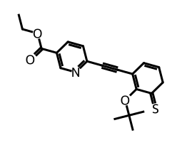 CCOC(=O)c1ccc(C#CC2=C(OC(C)(C)C)C(=S)CC=C2)nc1